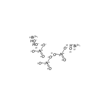 O=[N+]([O-])[O-].O=[N+]([O-])[O-].O=[N+]([O-])[O-].[Bi+3].[Bi+3].[OH-].[OH-].[OH-]